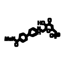 CNC(=O)c1ccc(-c2ccc(NCc3oc(CS(C)(=O)=O)cc(=O)c3O)cc2)cc1